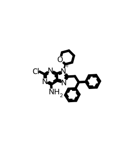 Nc1nc(Cl)nc2c1nc(CC(c1ccccc1)c1ccccc1)n2[C@@H]1CCCCO1